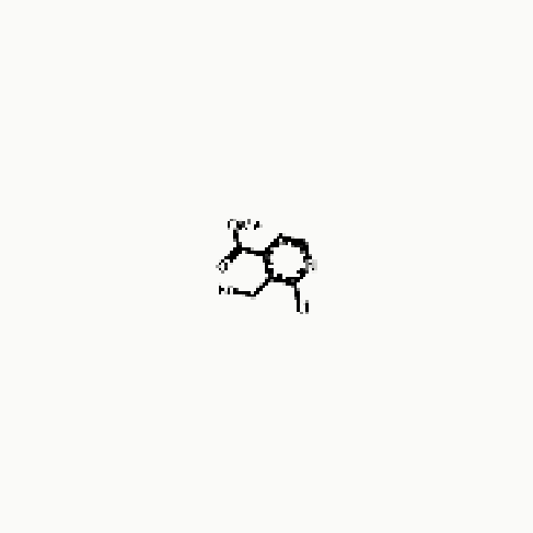 COC(=O)c1ccnc(Cl)c1CBr